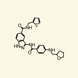 O=C(NCc1cccs1)c1ccc2[nH]nc(NC(=O)c3ccc(NCC4CCCO4)cc3)c2c1